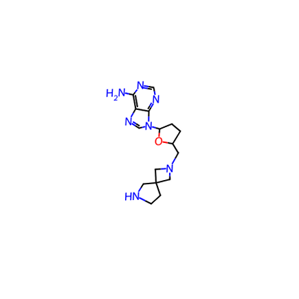 Nc1ncnc2c1ncn2C1CCC(CN2CC3(CCNC3)C2)O1